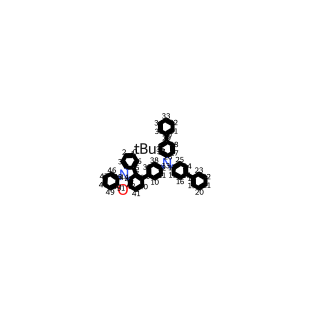 CC(C)(C)c1ccc2c(c1)c1c(-c3ccc(N(c4ccc(-c5ccccc5)cc4)c4ccc(-c5ccccc5)cc4)cc3)ccc3c1n2-c1ccccc1O3